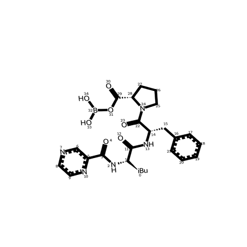 CC[C@H](C)[C@H](NC(=O)c1cnccn1)C(=O)N[C@@H](Cc1ccccc1)C(=O)N1CCC[C@H]1C(=O)OB(O)O